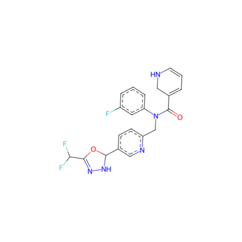 O=C(C1=CC=CNC1)N(Cc1ccc(C2NN=C(C(F)F)O2)cn1)c1cccc(F)c1